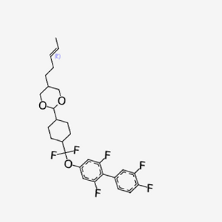 C/C=C/CCC1COC(C2CCC(C(F)(F)Oc3cc(F)c(-c4ccc(F)c(F)c4)c(F)c3)CC2)OC1